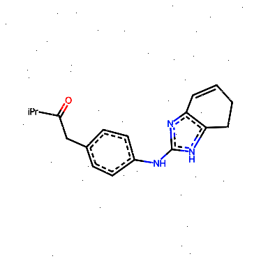 CC(C)C(=O)Cc1ccc(Nc2nc3c([nH]2)CCC=C3)cc1